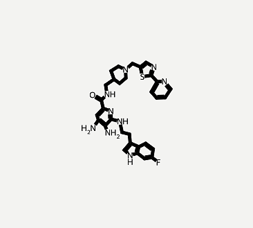 Nc1cc(C(=O)NCC2CCN(Cc3cnc(-c4ccccn4)s3)CC2)nc(NCCc2c[nH]c3cc(F)ccc23)c1N